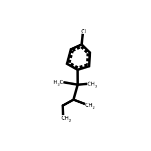 CCC(C)C(C)(C)c1ccc(Cl)cc1